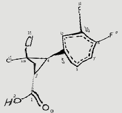 O=C(O)[C@H]1[C@H](c2ccc(F)c(F)c2)C1(Cl)Cl